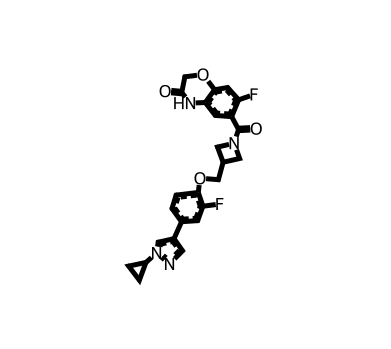 O=C1COc2cc(F)c(C(=O)N3CC(COc4ccc(-c5cnn(C6CC6)c5)cc4F)C3)cc2N1